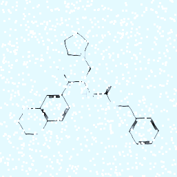 O=C(N[C@H](CN1CCCC1)[C@H](O)c1ccc2c(c1)OCCO2)OCc1ccccc1